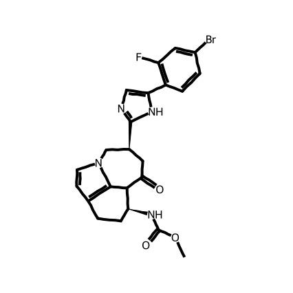 COC(=O)N[C@H]1CCc2ccn3c2C1C(=O)C[C@H](c1ncc(-c2ccc(Br)cc2F)[nH]1)C3